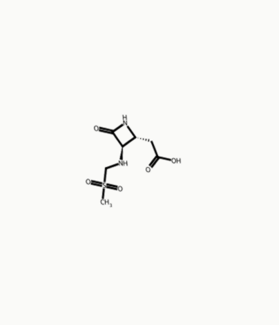 CS(=O)(=O)CN[C@H]1C(=O)N[C@@H]1CC(=O)O